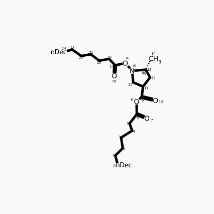 CCCCCCCCCCCCCCCC(=O)OC(=O)C1C[C@@H](C)N(OC(=O)CCCCCCCCCCCCCCC)C1